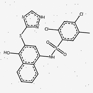 Cc1cc(S(=O)(=O)Nc2cc(Sc3nc[nH]n3)c(O)c3ccccc23)c(Cl)cc1Cl